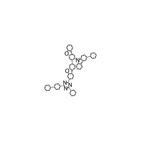 c1ccc(-c2ccc(-c3nc(-c4ccccc4)nc(-c4ccc5c(c4)oc4cc(-c6cc7oc8ccccc8c7cc6-n6c7ccccc7c7cc(-c8ccccc8)ccc76)ccc45)n3)cc2)cc1